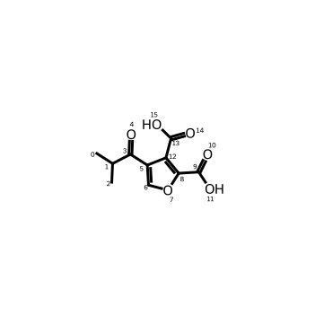 CC(C)C(=O)c1coc(C(=O)O)c1C(=O)O